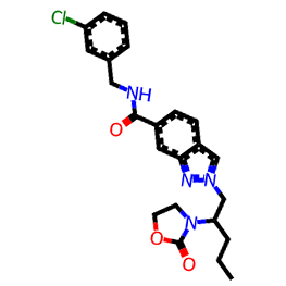 CCCC(Cn1cc2ccc(C(=O)NCc3cccc(Cl)c3)cc2n1)N1CCOC1=O